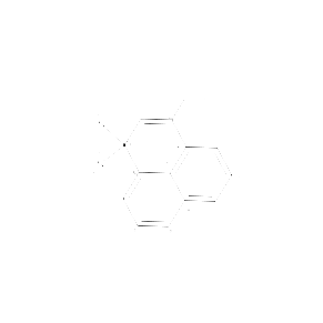 CC1=CC(N)(N)c2cccc3cccc1c23